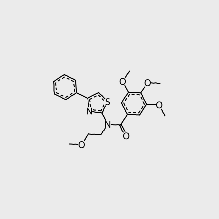 COCCN(C(=O)c1cc(OC)c(OC)c(OC)c1)c1nc(-c2ccccc2)cs1